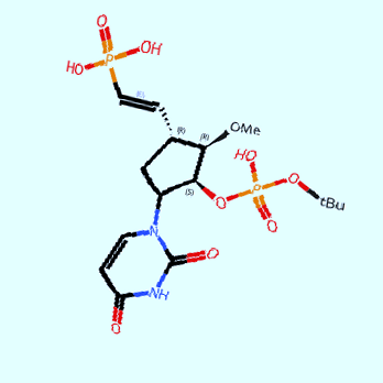 CO[C@@H]1[C@@H](/C=C/P(=O)(O)O)CC(n2ccc(=O)[nH]c2=O)[C@@H]1OP(=O)(O)OC(C)(C)C